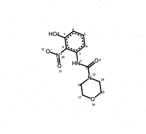 O=C(Nc1cccc(O)c1[N+](=O)[O-])N1CCOCC1